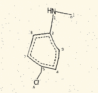 [C]Nc1ccc(Cl)cc1